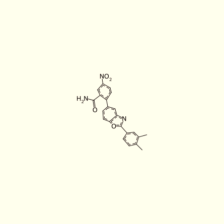 Cc1ccc(-c2nc3cc(-c4ccc([N+](=O)[O-])cc4C(N)=O)ccc3o2)cc1C